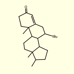 CC1CCC2C3C(C(C)(C)C)CC4=CC(=O)CCC4(C)C3CCC12C